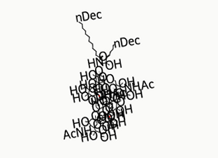 CCCCCCCCCCCCC/C=C/[C@@H](O)[C@H](CO[C@@H]1OC(CO)[C@@H](O[C@@H]2OC(CO)[C@H](O)[C@H](O[C@@H]3OC(CO[C@]4(C(=O)O)CC(O)[C@@H](NC(C)=O)C([C@H](O)[C@H](O)CO)O4)[C@@H](O[C@H]4OC(C)[C@@H](O)C(O)[C@@H]4O)[C@H](O[C@@H]4OC(CO)[C@H](O)[C@H](O[C@]5(C(=O)O)CC(O)[C@@H](NC(C)=O)C([C@H](O)[C@H](O)CO)O5)C4O)C3NC(C)=O)C2O)[C@H](O)C1O)NC(=O)CCCCCCCCCCCCCCCCCCCCC